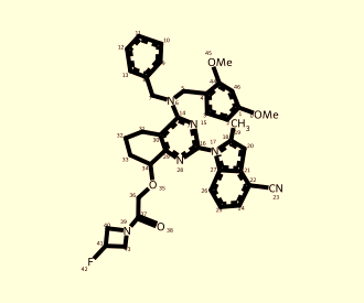 COc1ccc(CN(Cc2ccccc2)c2nc(-n3c(C)cc4c(C#N)cccc43)nc3c2CCCC3OCC(=O)N2CC(F)C2)c(OC)c1